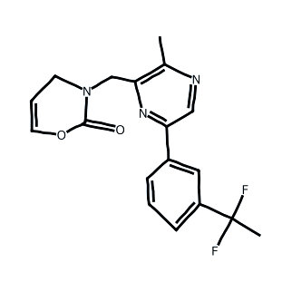 Cc1ncc(-c2cccc(C(C)(F)F)c2)nc1CN1CC=COC1=O